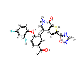 CC(=O)c1ccc(Oc2ccc(F)cc2F)c(-c2cn(C)c(=O)c3sc(-c4nc(C)no4)cc23)c1